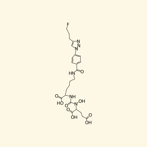 O=C(O)CCC(C(=O)O)N(O)C(=O)NC(CCCCNC(=O)c1ccc(-n2cc(CCCF)nn2)cc1)C(=O)O